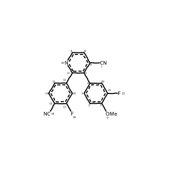 COc1ccc(-c2c(C#N)ccnc2-c2ccc(C#N)c(F)c2)cc1F